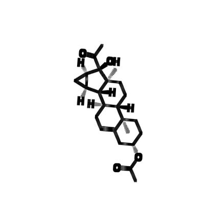 CC(=O)O[C@H]1CC[C@@]2(C)C(=CC[C@H]3[C@@H]4[C@H]5C[C@H]5[C@](O)(C(C)=O)[C@@]4(C)CC[C@@H]32)C1